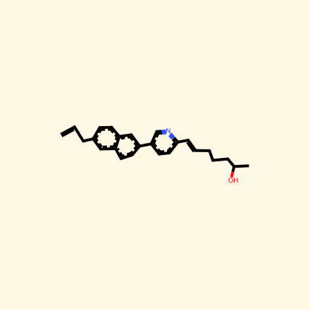 C=CCc1ccc2cc(-c3ccc(/C=C/CCCC(C)O)nc3)ccc2c1